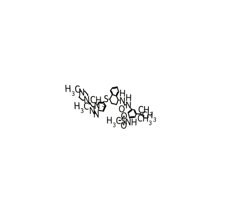 CN1CCN(C(C)(C)c2nnc3ccc(S[C@@H]4CC[C@H](NC(=O)Nc5cc(NS(C)(=O)=O)cc(C(C)(C)C)c5)c5ccccc54)cn23)CC1